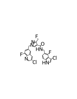 O=C(NCc1ccc2[nH]cc(Cl)c2c1F)c1cn(Cc2cc(F)c3ncc(Cl)cc3c2)nc1CF